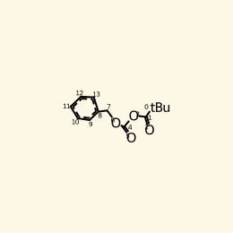 CC(C)(C)C(=O)OC(=O)OCc1ccccc1